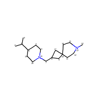 CC(C)C1CCN(CC2CC3(CCN(C)CC3)C2)CC1